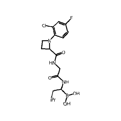 CC(C)CC(NC(=O)CNC(=O)C1CCN1c1ccc(F)cc1Cl)B(O)O